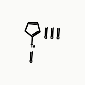 [C]=O.[C]=O.[C]=O.[C]=O.[Ta][C]1=CC=CC1